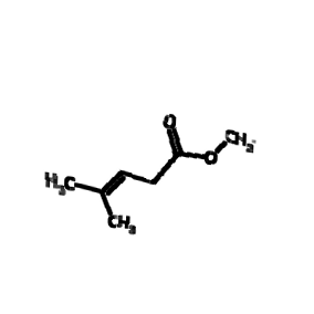 [CH2]OC(=O)CC=C(C)C